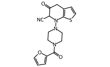 N#CC1C(=O)Cc2ccsc2N1N1CCN(C(=O)c2ccco2)CC1